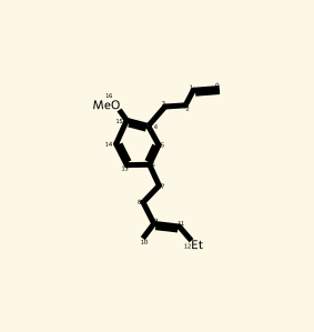 C=CCCc1cc(CCC(C)=CCC)ccc1OC